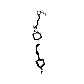 CCCCC[Si@H]1CC[C@H](C=CC#Cc2ccc(F)cc2)CC1